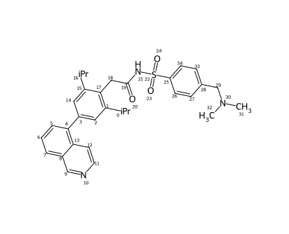 CC(C)c1cc(-c2cccc3cnccc23)cc(C(C)C)c1CC(=O)NS(=O)(=O)c1ccc(CN(C)C)cc1